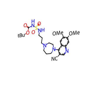 COc1cc2ncc(C#N)c(N3CCCN(CCCNS(=O)(=O)NC(=O)OC(C)(C)C)CC3)c2cc1OC